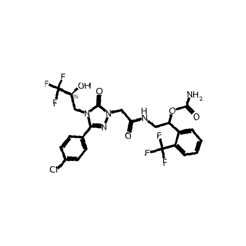 NC(=O)OC(CNC(=O)Cn1nc(-c2ccc(Cl)cc2)n(C[C@H](O)C(F)(F)F)c1=O)c1ccccc1C(F)(F)F